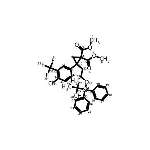 COC(=O)C1(C(=O)OC)CC1(CCO[Si](c1ccccc1)(c1ccccc1)C(C)(C)C)c1ccc(Cl)c(C(F)(F)F)c1